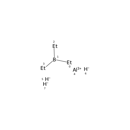 CCB(CC)CC.[Al+3].[H-].[H-].[H-]